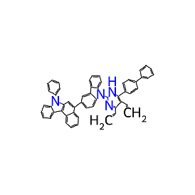 C=CC1=NC(n2c3ccccc3c3cc(-c4cc5c(c6ccccc46)c4ccccc4n5-c4ccccc4)ccc32)NC(c2ccc(-c3ccccc3)cc2)=C1C=C